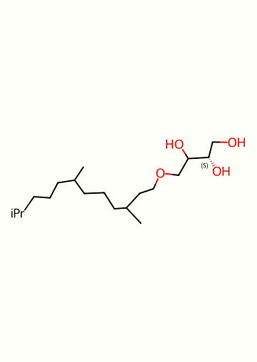 CC(C)CCCC(C)CCCC(C)CCOCC(O)[C@@H](O)CO